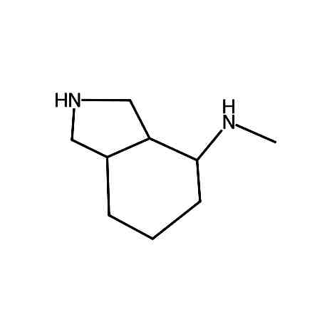 CNC1CCCC2CNCC21